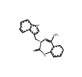 CC1=N[C@H](Cc2c[nH]c3ccccc23)C(=O)Nc2ccccc21